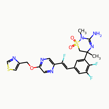 CN1C(N)=NC(C)(c2cc(C=C(F)c3cnc(OCc4cscn4)cn3)cc(F)c2F)CS1(=O)=O